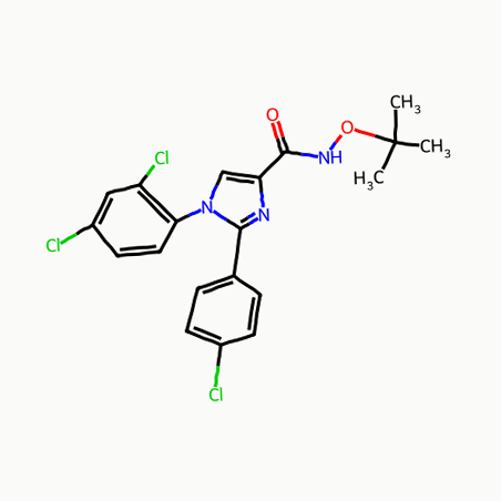 CC(C)(C)ONC(=O)c1cn(-c2ccc(Cl)cc2Cl)c(-c2ccc(Cl)cc2)n1